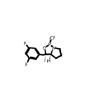 C[C@]1(c2cc(F)cc(F)c2)OP(Cl)N2CCC[C@H]21